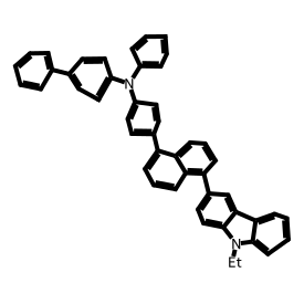 CCn1c2ccccc2c2cc(-c3cccc4c(-c5ccc(N(c6ccccc6)c6ccc(-c7ccccc7)cc6)cc5)cccc34)ccc21